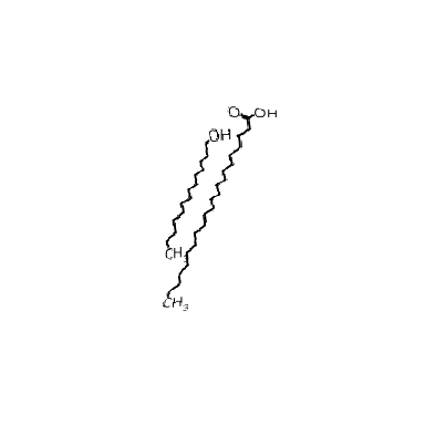 CCCCCCCCCCCCCCCCCCCCCC(=O)O.CCCCCCCCCCCCCCO